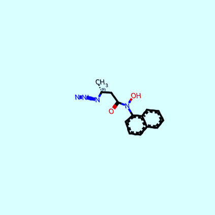 C[C@H](CC(=O)N(O)c1cccc2ccccc12)N=[N+]=[N-]